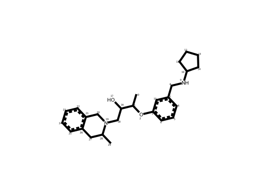 CC(Oc1cccc(CNC2CCCC2)c1)C(O)CN1Cc2ccccc2CC1C